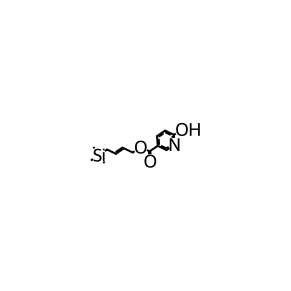 C[Si](C)(C)CC=CCOC(=O)c1ccc(O)nc1